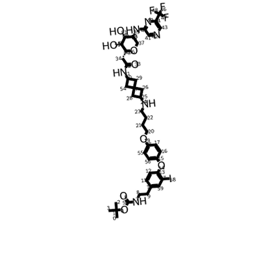 CC(C)(C)OC(=O)NCCc1ccc(Oc2ccc(OCCCCNC3CC4(C3)CC(NC(=O)C[C@H]3OC[C@H](Nc5cncc(C(F)(F)F)n5)[C@@H](O)[C@H]3O)C4)cc2)c(I)c1